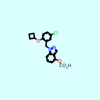 O=C(O)Oc1cccc2c1cnn2Cc1cc(Cl)ccc1OC1CCC1